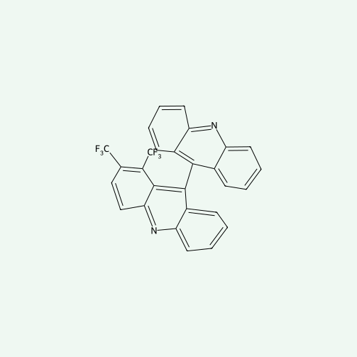 FC(F)(F)c1ccc2nc3ccccc3c(-c3c4ccccc4nc4ccccc34)c2c1C(F)(F)F